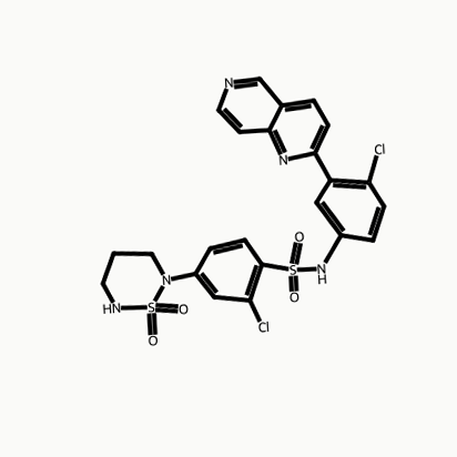 O=S(=O)(Nc1ccc(Cl)c(-c2ccc3cnccc3n2)c1)c1ccc(N2CCCNS2(=O)=O)cc1Cl